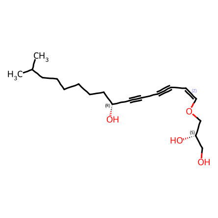 CC(C)CCCCCC[C@@H](O)C#CC#C/C=C\OC[C@@H](O)CO